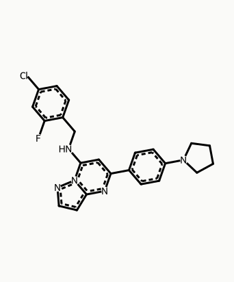 Fc1cc(Cl)ccc1CNc1cc(-c2ccc(N3CCCC3)cc2)nc2ccnn12